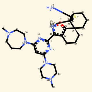 CN1CCCN(c2cc(N3CCN(C)CC3)nc(-c3noc4c3CCC[C@@]43CCCc4sc(N)c(C#N)c43)n2)CC1